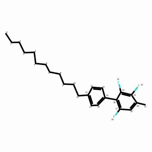 CCCCCCCCCCCCc1ccc(-c2c(F)cc(C)c(F)c2F)cc1